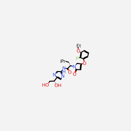 CCOc1cccc(OC2=CC(=O)N([C@@H](CC(C)C)C(=O)Nc3cnc([C@H](O)CO)cn3)C2)c1F